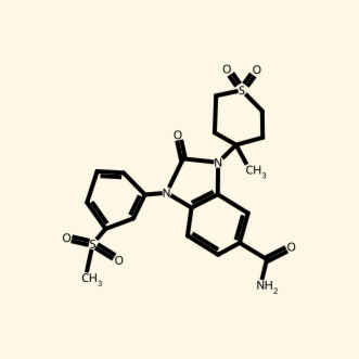 CC1(n2c(=O)n(-c3cccc(S(C)(=O)=O)c3)c3ccc(C(N)=O)cc32)CCS(=O)(=O)CC1